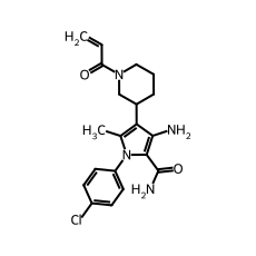 C=CC(=O)N1CCCC(c2c(N)c(C(N)=O)n(-c3ccc(Cl)cc3)c2C)C1